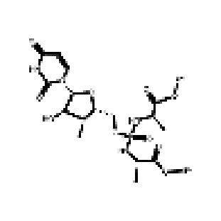 CC(C)OC(=O)[C@@H](C)NP(=O)(N[C@H](C)C(=O)OC(C)C)OC[C@H]1O[C@@H](n2ccc(=O)[nH]c2=O)[C@H](O)[C@@H]1C